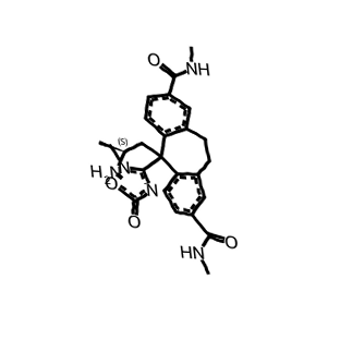 CNC(=O)c1ccc2c(c1)CCc1cc(C(=O)NC)ccc1C2(C[C@H](C)N)c1nc(=O)on1C